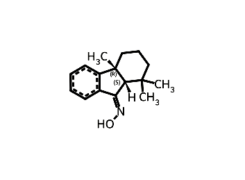 CC1(C)CCC[C@@]2(C)c3ccccc3C(=NO)[C@@H]12